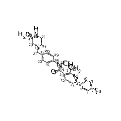 Cc1nc(-c2ccc(F)cc2)ccc1C(=O)N(C)c1ccc(CN2CCN[C@H](C)C2)cc1